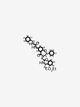 CCOC(=O)C[C@@H](NC(=O)CN1C[C@H](c2ccccc2)Oc2ccc(NC(=O)NCc3ccccc3)cc2C1=O)c1ccccc1